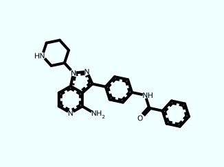 Nc1nccc2c1c(-c1ccc(NC(=O)c3ccccc3)cc1)nn2C1CCCNC1